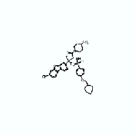 NC1CCN(C(=O)[C@H](NS(=O)(=O)c2ccc(OCC3CCCCC3)cc2)C(F)(F)c2ccc3c(c2)oc2cc(Cl)ccc23)CC1